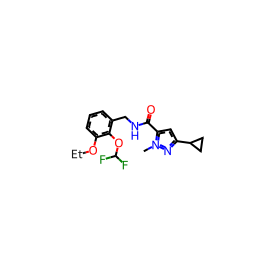 CCOc1cccc(CNC(=O)c2cc(C3CC3)nn2C)c1OC(F)F